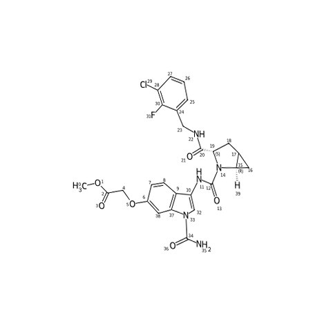 COC(=O)COc1ccc2c(NC(=O)N3[C@@H]4CC4C[C@H]3C(=O)NCc3cccc(Cl)c3F)cn(C(N)=O)c2c1